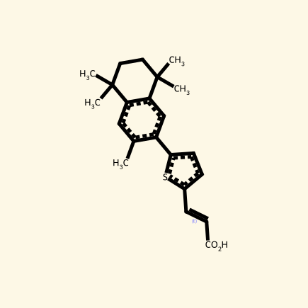 Cc1cc2c(cc1-c1ccc(/C=C/C(=O)O)s1)C(C)(C)CCC2(C)C